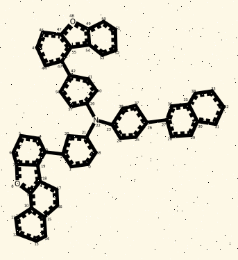 c1cc(-c2cccc3oc4c5ccccc5ccc4c23)cc(N(c2ccc(-c3ccc4ccccc4c3)cc2)c2ccc(-c3cccc4oc5ccccc5c34)cc2)c1